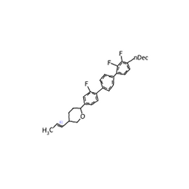 C/C=C/C1CCC(c2ccc(-c3ccc(-c4ccc(CCCCCCCCCC)c(F)c4F)cc3)c(F)c2)OC1